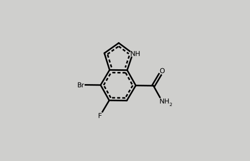 NC(=O)c1cc(F)c(Br)c2cc[nH]c12